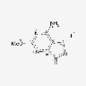 COc1nc(N)c2c(I)n[nH]c2n1